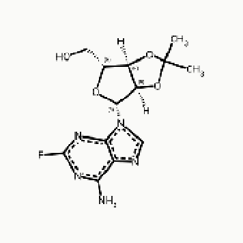 CC1(C)O[C@@H]2[C@H](O1)[C@@H](CO)O[C@H]2n1cnc2c(N)nc(F)nc21